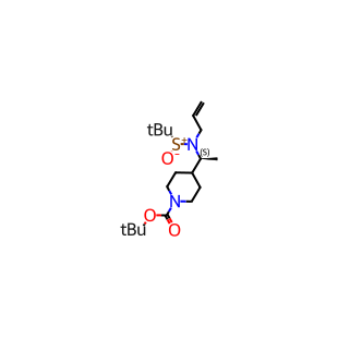 C=CCN([C@@H](C)C1CCN(C(=O)OC(C)(C)C)CC1)[S+]([O-])C(C)(C)C